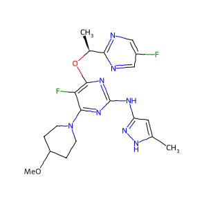 COC1CCN(c2nc(Nc3cc(C)[nH]n3)nc(O[C@@H](C)c3ncc(F)cn3)c2F)CC1